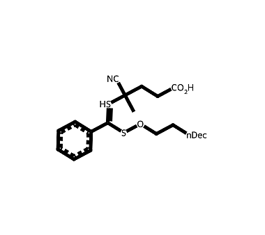 CCCCCCCCCCCCOSC(=[SH]C(C)(C#N)CCC(=O)O)c1ccccc1